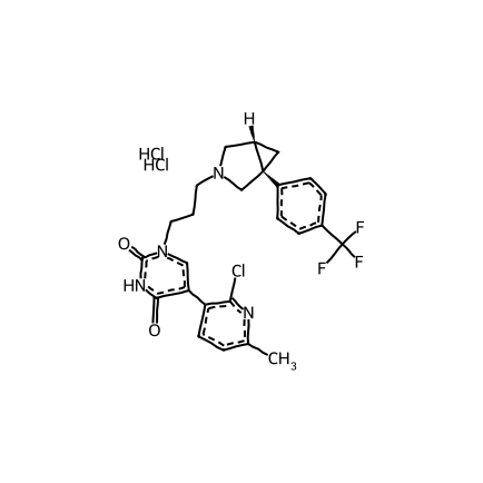 Cc1ccc(-c2cn(CCCN3C[C@@H]4C[C@]4(c4ccc(C(F)(F)F)cc4)C3)c(=O)[nH]c2=O)c(Cl)n1.Cl.Cl